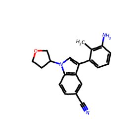 Cc1c(N)cccc1-c1cn(C2CCOC2)c2ccc(C#N)cc12